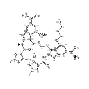 CCc1nc(C)sc1C(=O)Nc1nc2cc(C(N)=O)cc(OC)c2n1CC=CCn1c(NC(=O)c2sc(C)nc2CC)nc2cc(C(N)=O)cc(OCCCO)c21